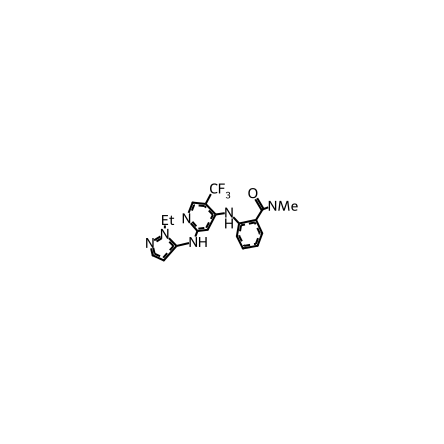 CCn1nccc1Nc1cc(Nc2ccccc2C(=O)NC)c(C(F)(F)F)cn1